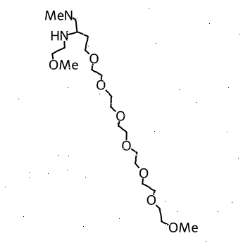 CNCC(CCOCCOCCOCCOCCOCCOCCOC)NCCOC